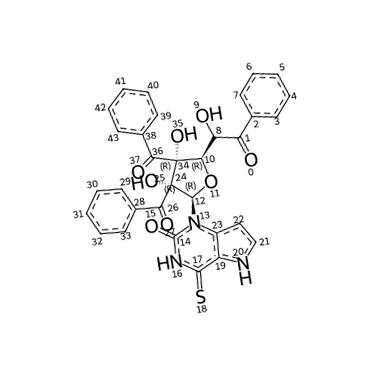 O=C(c1ccccc1)C(O)[C@H]1O[C@@H](n2c(=O)[nH]c(=S)c3[nH]ccc32)[C@@](O)(C(=O)c2ccccc2)[C@@]1(O)C(=O)c1ccccc1